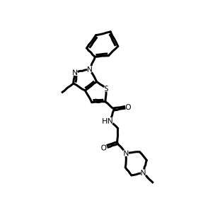 Cc1nn(-c2ccccc2)c2sc(C(=O)NCC(=O)N3CCN(C)CC3)cc12